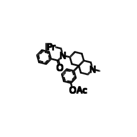 CC(=O)Oc1cccc(C23CCN(C)CC2CCC(N(CC(C)C)C(=O)c2ccccc2)C3)c1